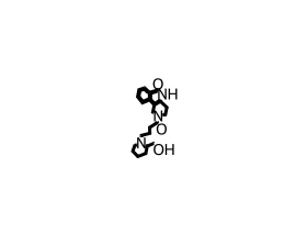 O=C(CCCN1CCCCC1CO)N1CCc2[nH]c(=O)c3ccccc3c2C1